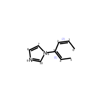 C/C=C\C(=C/C)n1ccnc1